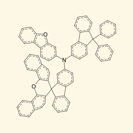 c1ccc(C2(c3ccccc3)c3ccccc3-c3cc(N(c4ccc5c(c4)C4(c6ccccc6-5)c5ccc6ccccc6c5Oc5c4ccc4ccccc54)c4ccc5c(c4)oc4ccccc45)ccc32)cc1